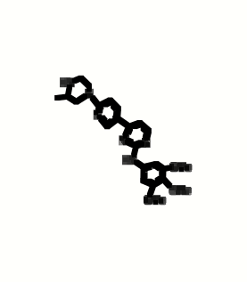 COc1cc(Nc2nccc(-c3ccc(N4CCNC(C)C4)nc3)n2)cc(OC)c1OC